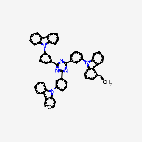 C=Cc1cccc2c1c1ccccc1n2-c1cccc(-c2nc(-c3cccc(-n4c5ccccc5c5ccccc54)c3)nc(-c3cccc(-n4c5ccccc5c5ccccc54)c3)n2)c1